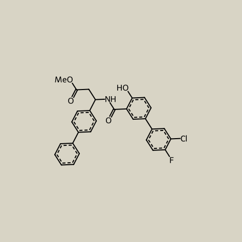 COC(=O)CC(NC(=O)c1cc(-c2ccc(F)c(Cl)c2)ccc1O)c1ccc(-c2ccccc2)cc1